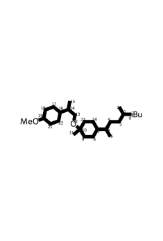 CCC(C)C(C)CCC(C)C1CCC(C)(OCC(C)C2CCC(OC)CC2)CC1